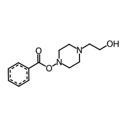 O=C(ON1CCN(CCO)CC1)c1ccccc1